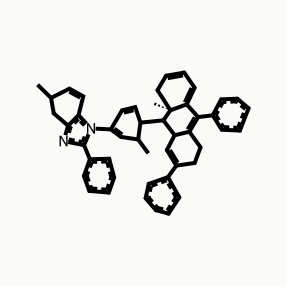 CC1C=Cc2c(nc(-c3ccccc3)n2C2=CC(C)C(C3C4C=C(c5ccccc5)CCC4=C(c4ccccc4)C4=CC=CC[C@@]43C)C=C2)C1